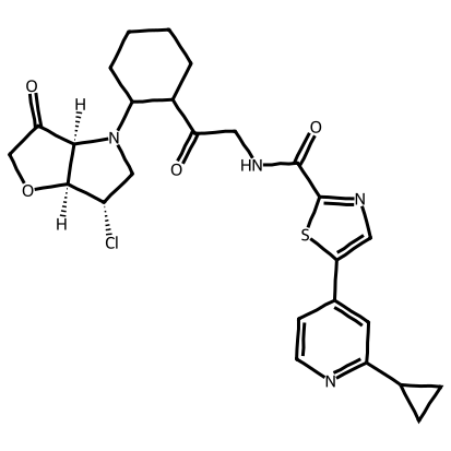 O=C(NCC(=O)C1CCCCC1N1C[C@H](Cl)[C@H]2OCC(=O)[C@H]21)c1ncc(-c2ccnc(C3CC3)c2)s1